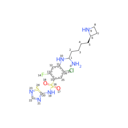 NC(CCCC[C@@H]1CCN1)Nc1cc(F)c(S(=O)(=O)Nc2ncns2)cc1Cl